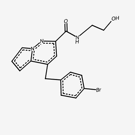 O=C(NCCO)c1cc(Cc2ccc(Br)cc2)c2cccn2n1